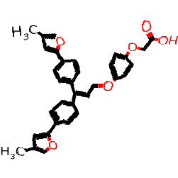 Cc1coc(-c2ccc(C(=CCOc3ccc(OCC(=O)O)cc3)c3ccc(-c4cc(C)co4)cc3)cc2)c1